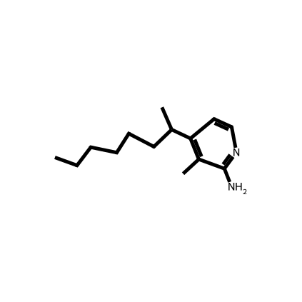 CCCCCCC(C)c1ccnc(N)c1C